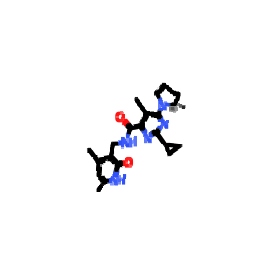 Cc1cc(C)c(CNC(=O)c2nc(C3CC3)nc(N3CCC[C@@H]3C)c2C)c(=O)[nH]1